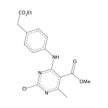 CCOC(=O)Cc1ccc(Nc2nc(Cl)nc(C)c2C(=O)OC)cc1